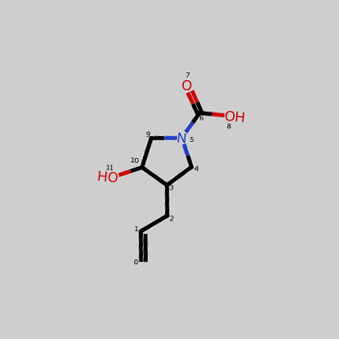 C=CCC1CN(C(=O)O)CC1O